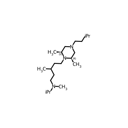 CC(C)CCN1C[C@@H](C)N(CCC(C)CCN(C)C(C)C)[C@@H](C)C1